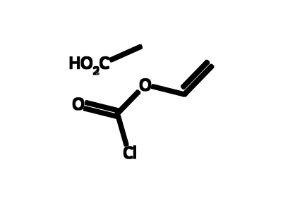 C=COC(=O)Cl.CC(=O)O